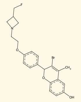 CC1=C(Br)C(c2ccc(OCCN3CC(CF)C3)cc2)Oc2ccc(O)cc21